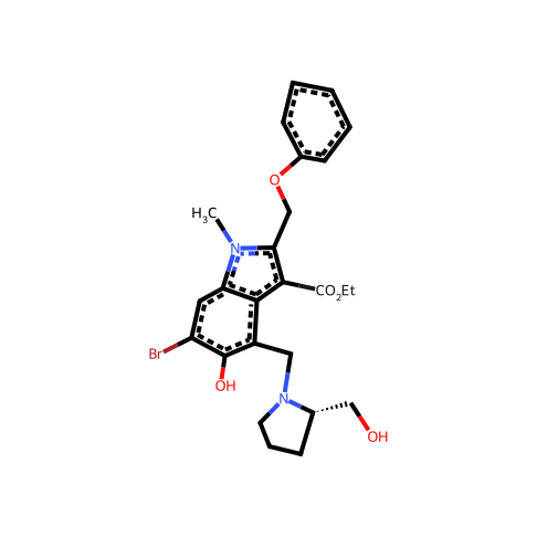 CCOC(=O)c1c(COc2ccccc2)n(C)c2cc(Br)c(O)c(CN3CCC[C@H]3CO)c12